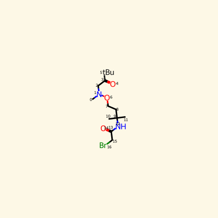 CN(CC(=O)C(C)(C)C)OCCC(C)(C)NC(=O)CBr